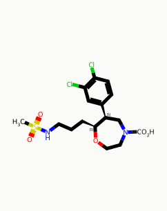 CS(=O)(=O)NCCC[C@@H]1OCCN(C(=O)O)C[C@@H]1c1ccc(Cl)c(Cl)c1